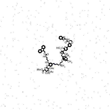 COC(=O)[C@H]1O[C@@H](Oc2ccc(/C=C/CCN(C)CCOC34CC5(C)CC(C)(CC(Cn6ncc(-c7ccc(-c8ccc9c(c8)N(C(=O)Nc8nc%10ccccc%10s8)CCO9)nc7C(=O)O)c6C)(C5)C3)C4)cc2NCCCNC(=O)OCC2c3ccccc3-c3ccccc32)[C@H](OC(C)=O)[C@@H](OC(C)=O)[C@@H]1OC(C)=O